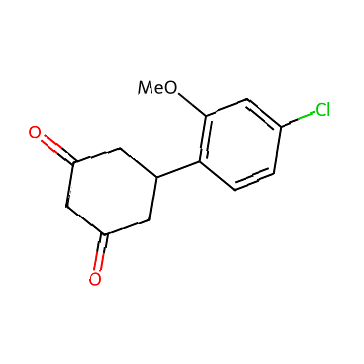 COc1cc(Cl)ccc1C1CC(=O)CC(=O)C1